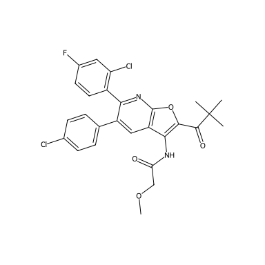 COCC(=O)Nc1c(C(=O)C(C)(C)C)oc2nc(-c3ccc(F)cc3Cl)c(-c3ccc(Cl)cc3)cc12